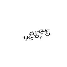 CC(C)c1c[c]c2c3c(C(N)=O)cccc3n(Cc3ccc(C(=O)c4ccccc4)cc3)c2c1